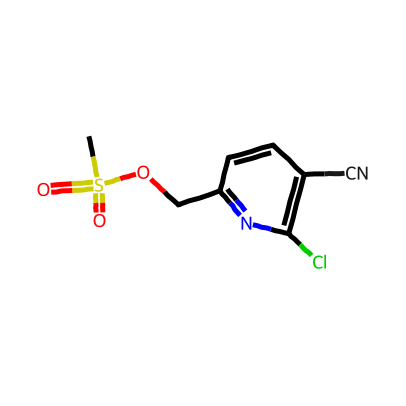 CS(=O)(=O)OCc1ccc(C#N)c(Cl)n1